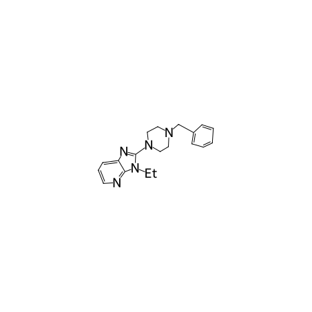 CCn1c(N2CCN(Cc3ccccc3)CC2)nc2cccnc21